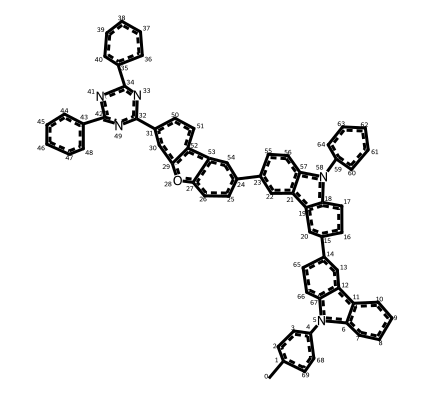 Cc1ccc(-n2c3ccccc3c3cc(-c4ccc5c(c4)c4cc(-c6ccc7oc8cc(-c9nc(-c%10ccccc%10)nc(-c%10ccccc%10)n9)ccc8c7c6)ccc4n5-c4ccccc4)ccc32)cc1